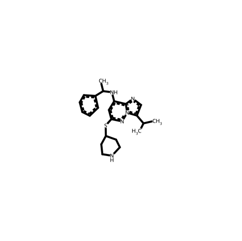 CC(C)c1cnc2c(NC(C)c3ccccc3)cc(SC3CCNCC3)nn12